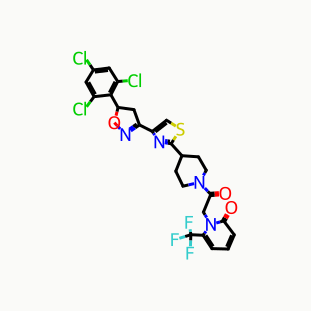 O=C(Cn1c(C(F)(F)F)cccc1=O)N1CCC(c2nc(C3=NOC(c4c(Cl)cc(Cl)cc4Cl)C3)cs2)CC1